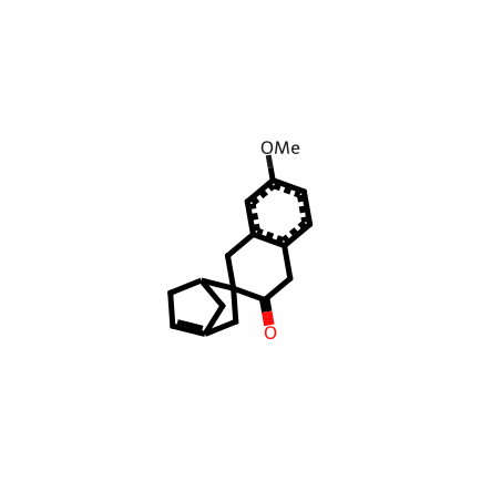 COc1ccc2c(c1)CC1(CC3=CCC1C3)C(=O)C2